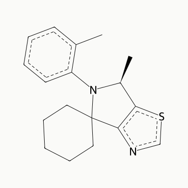 Cc1ccccc1N1[C@@H](C)c2scnc2C12CCCCC2